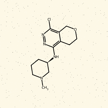 CN1CCC[C@@H](Nc2nnc(Cl)c3c2CCOC3)C1